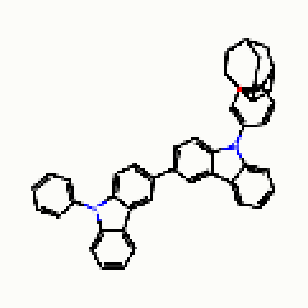 c1ccc(-n2c3ccccc3c3cc(-c4ccc5c(c4)c4ccccc4n5-c4ccc5c(c4)C4CC6CC(CC5C6)C4)ccc32)cc1